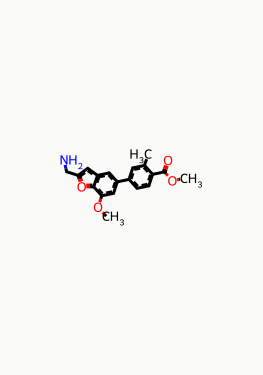 COC(=O)c1ccc(-c2cc(OC)c3oc(CN)cc3c2)cc1C